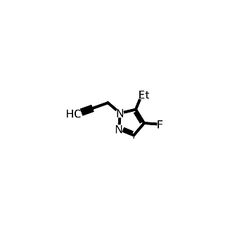 C#CCn1n[c]c(F)c1CC